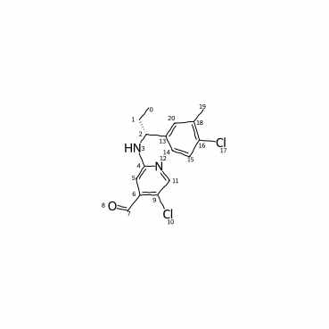 CC[C@@H](Nc1cc(C=O)c(Cl)cn1)c1ccc(Cl)c(C)c1